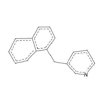 c1cncc(Cc2cccc3ccccc23)c1